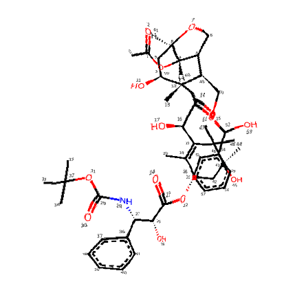 CC(=O)O[C@H]1C2CO[C@@H]1C[C@H](O)[C@@](C)(C(=O)[C@H](O)C1=C(C)[C@@H](OC(=O)[C@H](O)[C@@H](NC(=O)OC(C)(C)C)c3ccccc3)C[C@](C)(O)C1(C)C)[C@@H]2COC(O)c1ccccc1